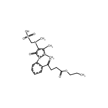 CCCOC(=O)CCC(=O)c1ccccc1-n1c(=O)c(N(C)CS(=O)(=O)O)c(C)n1C